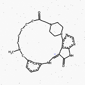 CN1CCCCCC(=O)N2CCN(CC2)c2ncnc3c2/C(=C/Nc2cccc(c2)C1)C(=O)N3